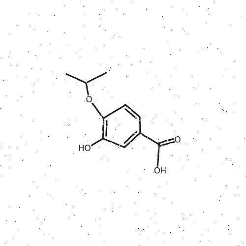 CC(C)Oc1ccc(C(=O)O)cc1O